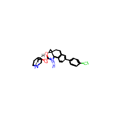 O=C(NC1c2ccc(-c3ccc(Cl)cc3)cc2CCC12CC2)O[C@H]1CN2CCC1CC2